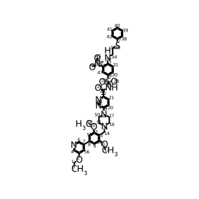 CCOc1cncc(-c2cc(OC)c(CN3CCN(c4ccc(C(=O)NS(=O)(=O)c5ccc(NCCSc6ccccc6)c([N+](=O)[O-])c5)nn4)CC3)c(OC)c2)c1